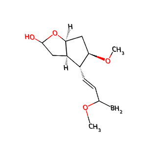 BC(/C=C/[C@@H]1[C@H]2CC(O)O[C@H]2C[C@H]1OC)OC